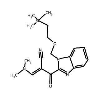 CN(C)C=C(C#N)C(=O)c1nc2ccccc2n1COCC[Si](C)(C)C